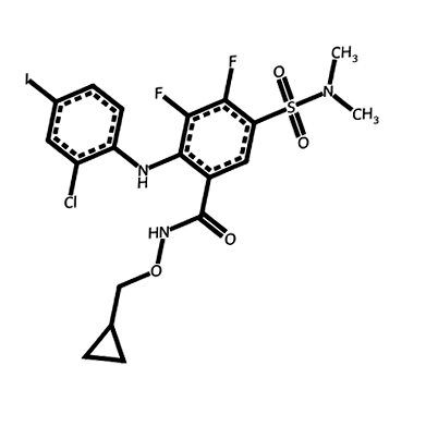 CN(C)S(=O)(=O)c1cc(C(=O)NOCC2CC2)c(Nc2ccc(I)cc2Cl)c(F)c1F